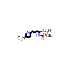 CC(C)(C)OC(=O)NC(CCCc1ccc([N+](=O)[O-])cn1)C(=O)O